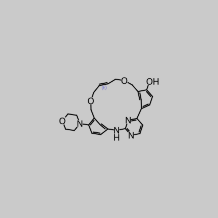 Oc1ccc2cc1COC/C=C/COCc1cc(ccc1N1CCOCC1)Nc1nccc-2n1